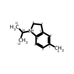 Cc1ccc2c(c1)CCN2C(C)C